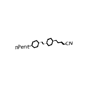 CCCCC[C@H]1CC[C@H](CC[C@H]2CC[C@H](CCC=CC#N)CC2)CC1